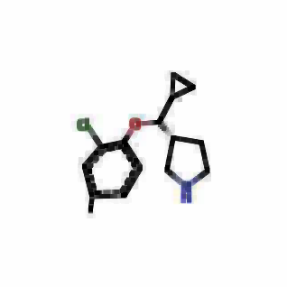 Cc1ccc(OC(C2CC2)[C@@H]2CCNC2)c(Cl)c1